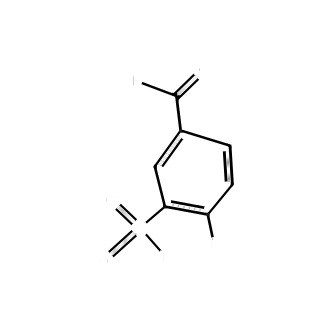 O=C(F)c1ccc(F)c(S(=O)(=O)F)c1